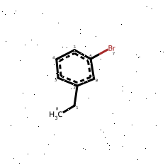 CCc1c[c]cc(Br)c1